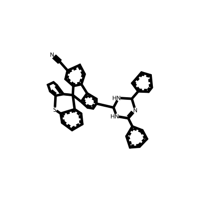 N#Cc1ccc2c(c1)C1(C3=CCCC=C3Sc3ccccc31)c1ccc(C3NC(c4ccccc4)=NC(c4ccccc4)N3)cc1-2